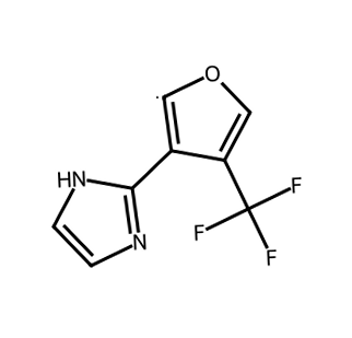 FC(F)(F)c1co[c]c1-c1ncc[nH]1